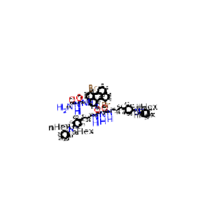 Brc1ccc2cccc3c4c(Br)ccc5cccc(c1c23)c54.CCCCCC[N+](CCCCCC)(c1ccccc1)c1ccc(CCCNC(=O)NC(=O)NCCCc2ccc([N+](CCCCCC)(CCCCCC)c3ccccc3)cc2)cc1.NC(=O)NC(N)=O